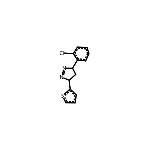 Clc1ccccc1C1CC(c2cccs2)N=N1